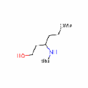 COCCC(CCO)NC(C)(C)C